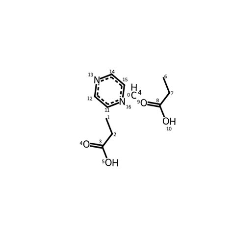 C.CCC(=O)O.CCC(=O)O.c1cnccn1